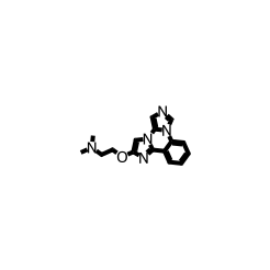 CN(C)CCOc1cn2c(n1)c1ccccc1n1cncc12